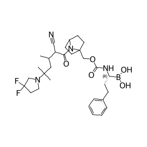 CC(CC(C)(C)N1CCC(F)(F)C1)C(C#N)C(=O)N1C2CCC1(COC(=O)N[C@@H](CCc1ccccc1)B(O)O)CC2